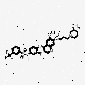 COc1cc2c(Oc3ccc(NS(=O)(=O)c4cccc(C(F)(F)F)c4)cc3F)ccnc2cc1OCCCN1CCCC(C)C1